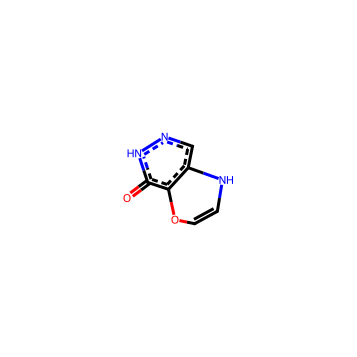 O=c1[nH]ncc2c1OC=CN2